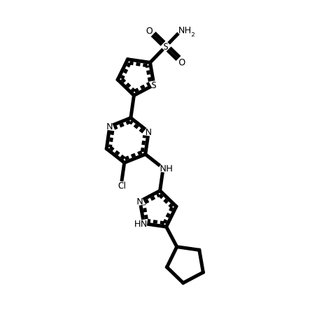 NS(=O)(=O)c1ccc(-c2ncc(Cl)c(Nc3cc(C4CCCC4)[nH]n3)n2)s1